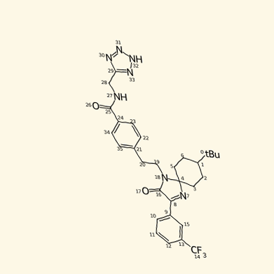 CC(C)(C)C1CCC2(CC1)N=C(c1cccc(C(F)(F)F)c1)C(=O)N2CCc1ccc(C(=O)NCc2nn[nH]n2)cc1